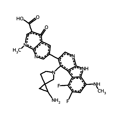 CNc1cc(F)c(F)c2c1[nH]c1ncc(-c3cnc4c(c3)c(=O)c(C(=O)O)cn4C)c(N3CCC4(CC4N)C3)c12